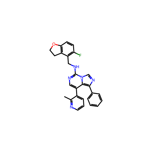 Cc1ncccc1-c1cnc(NCc2c(F)ccc3c2CCO3)n2cnc(-c3ccccc3)c12